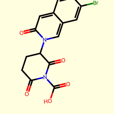 O=C(O)N1C(=O)CCC(n2cc3cc(Br)ccc3cc2=O)C1=O